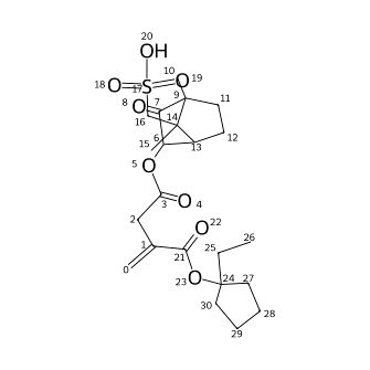 C=C(CC(=O)OC1C(=O)C2(C)CCC1C2(C)CS(=O)(=O)O)C(=O)OC1(CC)CCCC1